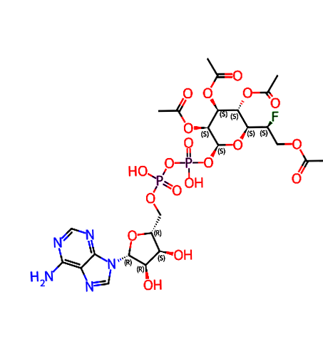 CC(=O)OC[C@H](F)[C@H]1O[C@@H](OP(=O)(O)OP(=O)(O)OC[C@H]2O[C@@H](n3cnc4c(N)ncnc43)[C@H](O)[C@@H]2O)[C@@H](OC(C)=O)[C@@H](OC(C)=O)[C@@H]1OC(C)=O